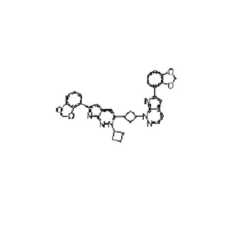 c1cc2c(c(-c3cc4cc(C5CC(n6nccc7cc(-c8cccc9c8OCO9)nc6-7)C5)n(C5CCC5)nc-4n3)c1)OCO2